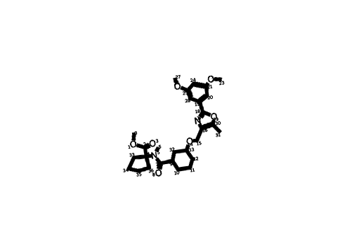 COC(=O)C1(N(C)C(=O)C2CCCC(OCc3nc(-c4cc(OC)cc(OC)c4)oc3C)C2)CCCC1